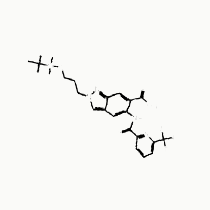 CC(C)(C)[Si](C)(C)OCCCn1cc2cc(NC(=O)c3cccc(C(F)(F)F)n3)c(C(=O)O)cc2n1